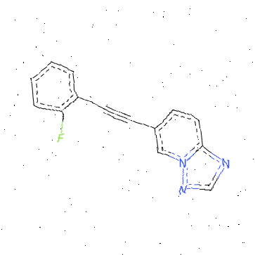 Fc1ccccc1C#Cc1ccc2ncnn2c1